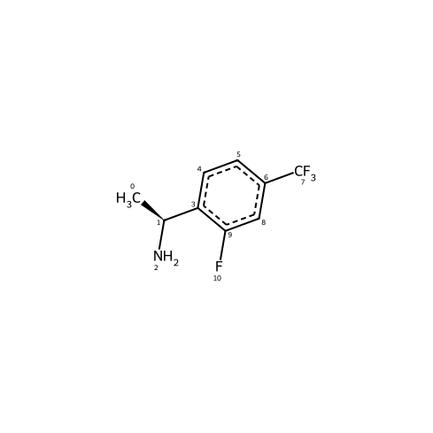 C[C@H](N)c1ccc(C(F)(F)F)cc1F